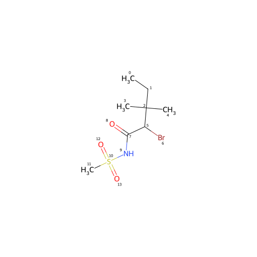 CCC(C)(C)C(Br)C(=O)NS(C)(=O)=O